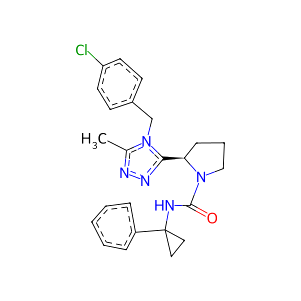 Cc1nnc([C@H]2CCCN2C(=O)NC2(c3ccccc3)CC2)n1Cc1ccc(Cl)cc1